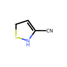 N#CC1=C[CH]SN1